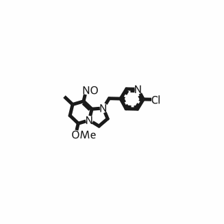 COC1CC(C)C(N=O)=C2N(Cc3ccc(Cl)nc3)CCN21